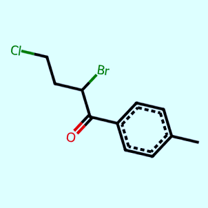 Cc1ccc(C(=O)C(Br)CCCl)cc1